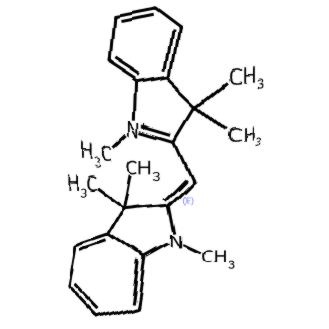 CN1/C(=C/C2=[N+](C)c3ccccc3C2(C)C)C(C)(C)c2ccccc21